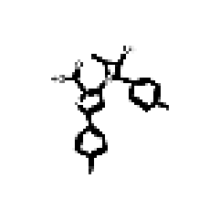 Cc1ccc(C2=C(O)C(C)N2c2cc(-c3ccc(F)cc3)sc2C(=O)O)cc1